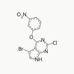 O=[N+]([O-])c1cccc(Oc2nc(Cl)nc3[nH]cc(Br)c23)c1